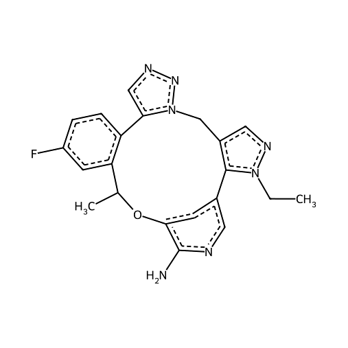 CCn1ncc2c1-c1cnc(N)c(c1)OC(C)c1cc(F)ccc1-c1cnnn1C2